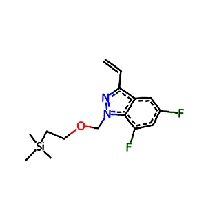 C=Cc1nn(COCC[Si](C)(C)C)c2c(F)cc(F)cc12